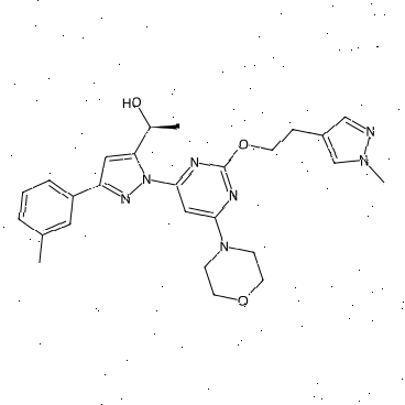 Cc1cccc(-c2cc([C@H](C)O)n(-c3cc(N4CCOCC4)nc(OCCc4cnn(C)c4)n3)n2)c1